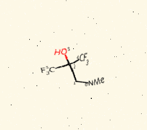 CNCC(O)(C(F)(F)F)C(F)(F)F